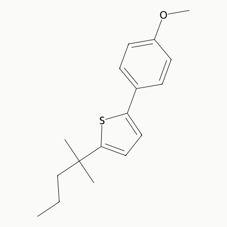 CCCC(C)(C)c1ccc(-c2ccc(OC)cc2)s1